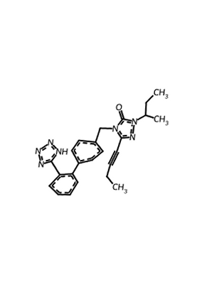 CCC#Cc1nn(C(C)CC)c(=O)n1Cc1ccc(-c2ccccc2-c2nnn[nH]2)cc1